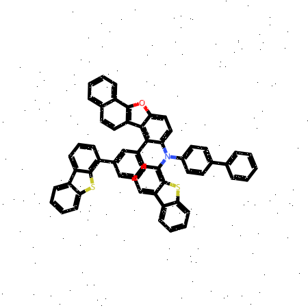 c1ccc(-c2ccc(N(c3ccc4oc5c6ccccc6ccc5c4c3-c3cccc(-c4cccc5c4sc4ccccc45)c3)c3cccc4c3sc3ccccc34)cc2)cc1